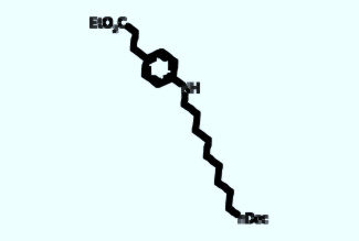 CCCCCCCCCCCCCCCCCCCNc1ccc(CCC(=O)OCC)cc1